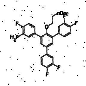 CCCCCCCCCCCCOc1c(-c2ccc(F)c(F)c2)cc(-c2ccc(F)c(F)c2)cc1-c1ccc(F)c(P)c1